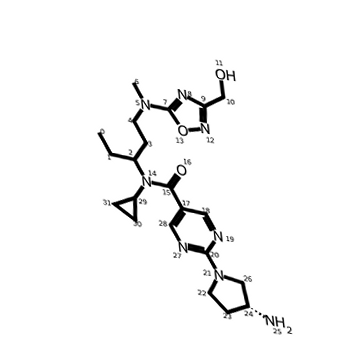 CCC(CCN(C)c1nc(CO)no1)N(C(=O)c1cnc(N2CC[C@@H](N)C2)nc1)C1CC1